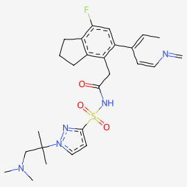 C=N/C=C\C(=C/C)c1cc(F)c2c(c1CC(=O)NS(=O)(=O)c1ccn(C(C)(C)CN(C)C)n1)CCC2